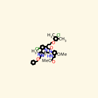 COC(=O)c1cc2c(OC)ccc(N3C[C@@H](C)n4c(c(CCCOc5cc(C)c(Cl)c(C)c5)c5ccc(Cl)c(-c6c(C)nc(COCc7ccccc7)nc6C)c54)C3=O)c2[nH]1